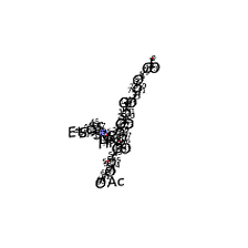 C#CC(=O)OCCCOc1ccc(CCOC(=O)C2CCC(C(=O)Oc3ccc4c(Nc5cnc(/C=C6\Sc7cc(SCC)cc(C)c7S6)s5)c(C(=O)OCCc5ccc(OCCCOC(C)=O)cc5)ccc4c3)CC2)cc1